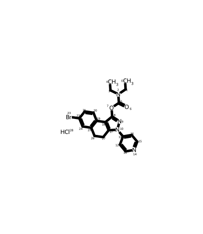 CCN(CC)C(=O)Oc1nn(-c2ccncc2)c2c1-c1ccc(Br)cc1CC2.Cl